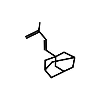 C=C(C)C=CC12CC3CC(CC(C3)C1)C2